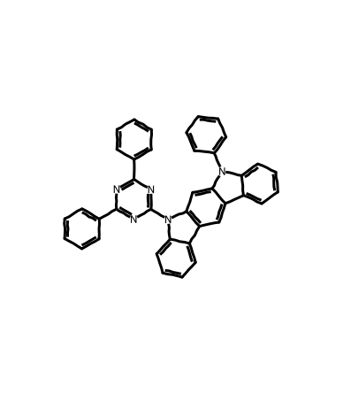 c1ccc(-c2nc(-c3ccccc3)nc(-n3c4ccccc4c4cc5c6ccccc6n(-c6ccccc6)c5cc43)n2)cc1